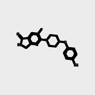 Cc1cc2c(nc1N1CCC(Oc3ccc(C#N)cc3)CC1)CNC2=O